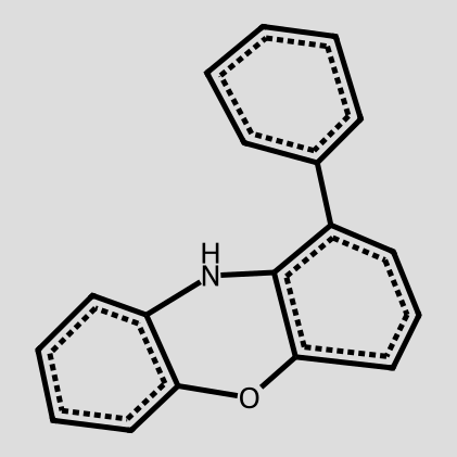 c1ccc(-c2cccc3c2Nc2ccccc2O3)cc1